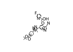 Cc1c(-c2cc(OCC(O)c3ccc(F)cn3)c3c(C#N)cnn3c2)nnn1C1CCN(C(=O)OC(C)(C)C)CC1